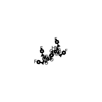 O=C(N[C@H]1C[C@H]1c1ccc(F)cc1)C1CN(C(=O)c2ccc(C(=O)N3C[C@@H](C(=O)NC4CC4c4ccc(F)cc4)[C@H](C(=O)NC4C[C@@H]4c4ccc(F)cc4)C3)cc2)C[C@H]1C(=O)NC1CC1c1ccc(F)cc1